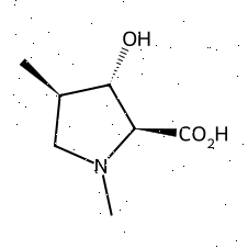 C[C@@H]1CN(C)[C@H](C(=O)O)[C@H]1O